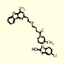 Cc1nc(CCOCCCC(=O)N2CC[C@H](N3C(O)=NC4=CC(Cl)=CCC43)[C@@H](C)C2)nc2c1oc1ccccc12